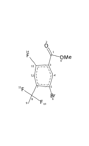 COC(=O)c1cc(Br)c(C(C)(F)F)cc1F